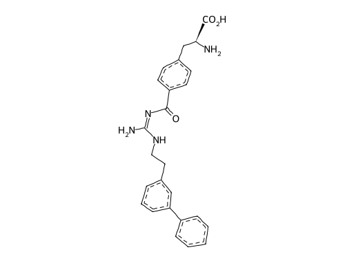 NC(=NC(=O)c1ccc(C[C@H](N)C(=O)O)cc1)NCCc1cccc(-c2ccccc2)c1